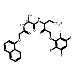 CC(C)[C@H](NC(=O)COC1=CC=CC2=CC=CCC21)C(=O)NC(CC(=O)O)C(=O)COc1c(F)c(F)cc(F)c1F